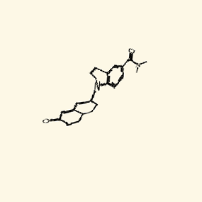 CN(C)C(=O)c1ccc2c(c1)CCN2C1=CC2=CC(=O)CCC2CC1